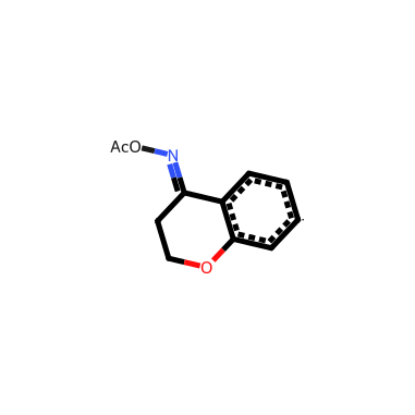 CC(=O)ON=C1CCOc2c[c]ccc21